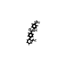 CC(=O)N1CCCCC1c1ccc(C(=O)Nc2ccc(C(C)(C)C)cc2)cc1